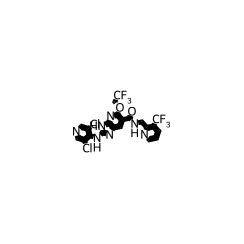 O=C(NCc1ncccc1C(F)(F)F)c1cc2nc(Nc3c(Cl)cncc3Cl)[nH]c2nc1OCC(F)(F)F